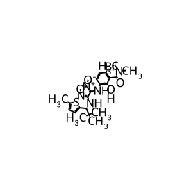 Cc1ccc([C@H](Nc2no[n+]([O-])c2Nc2ccc(Br)c(C(=O)N(C)C)c2O)C(C)(C)C)s1